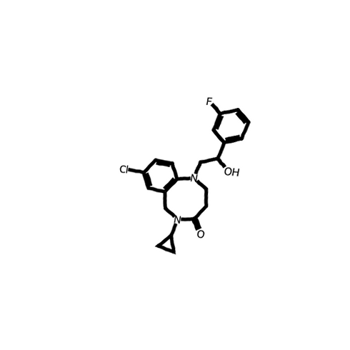 O=C1CCN(CC(O)c2cccc(F)c2)c2ccc(Cl)cc2CN1C1CC1